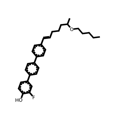 CCCCCOC(C)CCCC=Cc1ccc(-c2ccc(-c3ccc(O)c(F)c3)cc2)cc1